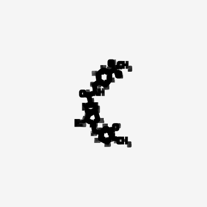 CC[C@H]1c2nc(C(=O)NCc3ccc(S(C)(=O)=O)cc3)sc2CN1Cc1ccn(C)c(=O)c1